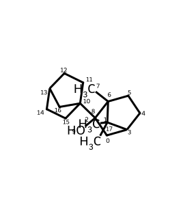 CC1(C)C2CCC1(C)C(O)(C13CCC(CC1)C3)C2